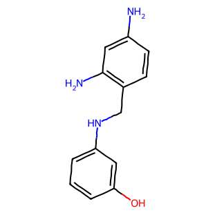 Nc1ccc(CNc2cccc(O)c2)c(N)c1